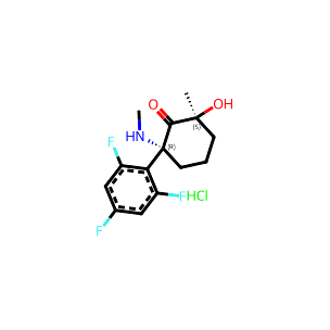 CN[C@@]1(c2c(F)cc(F)cc2F)CCC[C@](C)(O)C1=O.Cl